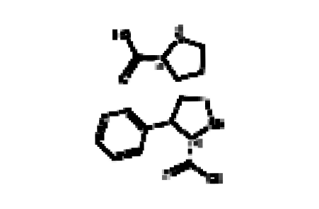 O=C(O)[C@@H]1CCCN1.O=C(O)[C@H]1NCCC1c1ccccc1